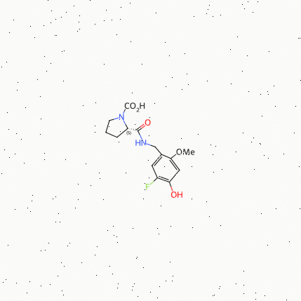 COc1cc(O)c(F)cc1CNC(=O)[C@@H]1CCCN1C(=O)O